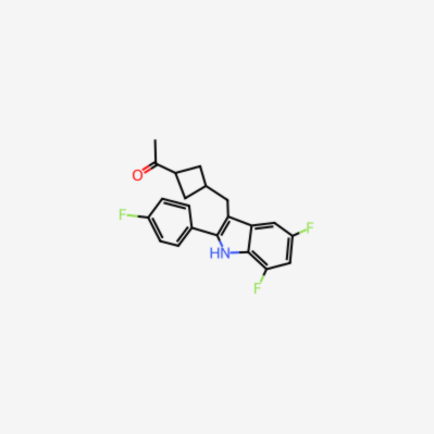 CC(=O)C1CC(Cc2c(-c3ccc(F)cc3)[nH]c3c(F)cc(F)cc23)C1